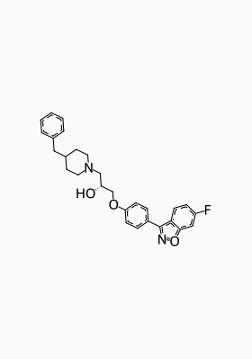 O[C@@H](COc1ccc(-c2noc3cc(F)ccc23)cc1)CN1CCC(Cc2ccccc2)CC1